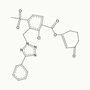 CS(=O)(=O)c1ccc(C(=O)OC2=CC(=O)CCC2)c(Cl)c1Cn1nnc(-c2ccccc2)n1